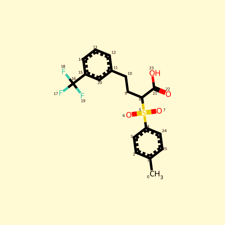 Cc1ccc(S(=O)(=O)C(CCc2cccc(C(F)(F)F)c2)C(=O)O)cc1